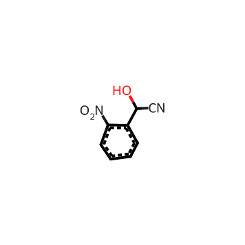 N#CC(O)c1ccccc1[N+](=O)[O-]